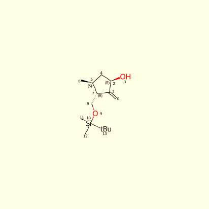 C=C1[C@H](O)C[C@H](C)[C@H]1CO[Si](C)(C)C(C)(C)C